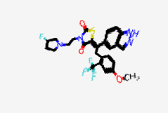 COc1ccc(C/C(=C2/SC(=O)N(CCN3CC[C@@H](F)C3)C2=O)c2ccc3[nH]ncc3c2)c(C(F)(F)F)c1